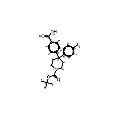 CC(C)(C)OC(=O)N1CCC(c2ccc(Cl)cc2)(c2ccc(C(=O)O)cc2)CC1